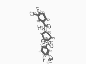 O=C(N[C@H]1CC[C@](F)(S(=O)(=O)c2cccc(OC(F)(F)F)c2)CC1)c1ccc(F)c(Cl)c1